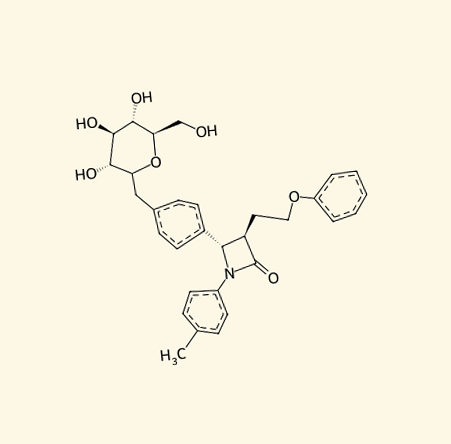 Cc1ccc(N2C(=O)[C@H](CCOc3ccccc3)[C@H]2c2ccc(CC3O[C@H](CO)[C@@H](O)[C@H](O)[C@H]3O)cc2)cc1